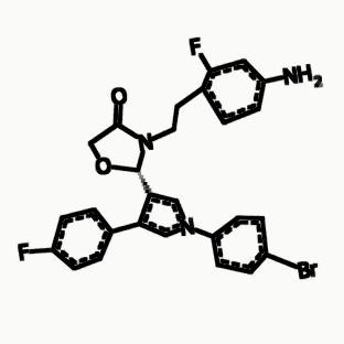 Nc1ccc(CCN2C(=O)CO[C@H]2c2cn(-c3ccc(Br)cc3)cc2-c2ccc(F)cc2)c(F)c1